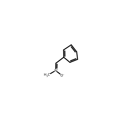 C/[N+]([O-])=C/c1ccccc1